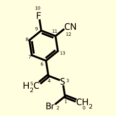 C=C(Br)SC(=C)c1ccc(F)c(C#N)c1